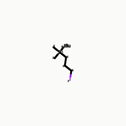 CC(C)(C)[Si](C)(C)CCCI